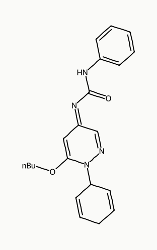 CCCCOc1cc(=NC(=O)Nc2ccccc2)cnn1C1C=CCC=C1